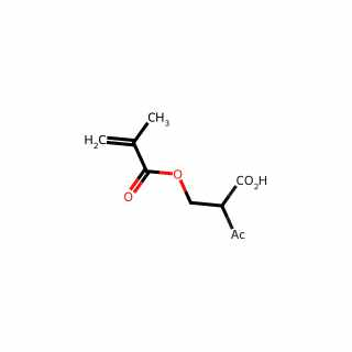 C=C(C)C(=O)OCC(C(C)=O)C(=O)O